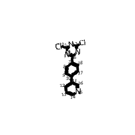 Clc1nc(Cl)nc(-c2ccc(-c3cccnc3)cc2)n1